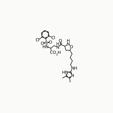 Cc1nc(NCCCCC2CC(C(=O)NCC(NS(=O)(=O)c3c(Cl)cccc3Cl)C(=O)O)NO2)[nH]c1C